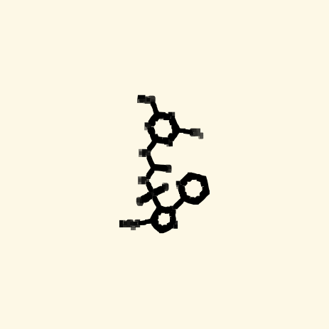 CCOC(=O)c1cnn(-c2ccccn2)c1S(=O)(=O)NC(=O)Nc1nc(C)nc(OC)n1